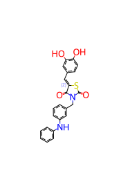 O=C1S/C(=C\c2ccc(O)c(O)c2)C(=O)N1Cc1cccc(Nc2ccccc2)c1